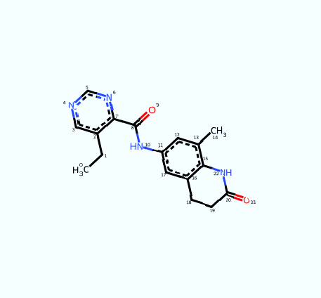 CCc1cncnc1C(=O)Nc1cc(C)c2c(c1)CCC(=O)N2